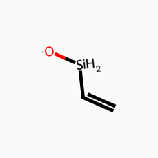 C=C[SiH2][O]